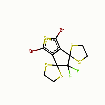 FC1(F)C2(SCCS2)c2c(Br)sc(Br)c2C12SCCS2